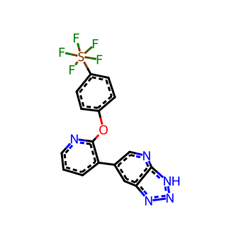 FS(F)(F)(F)(F)c1ccc(Oc2ncccc2-c2cnc3[nH]nnc3c2)cc1